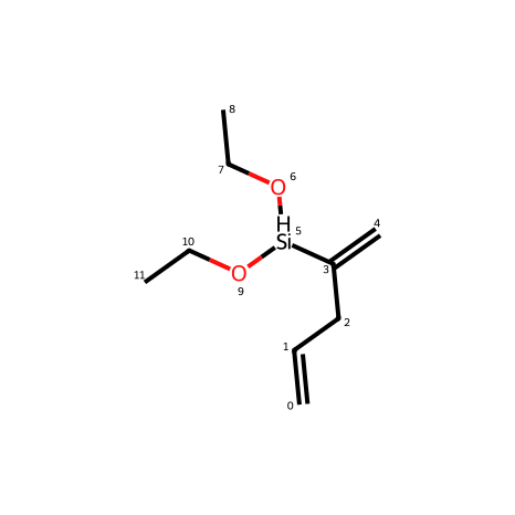 C=CCC(=C)[SiH](OCC)OCC